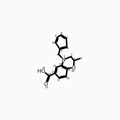 CC1CN(Cc2ccccc2)c2cc(C(=O)O)ccc2O1